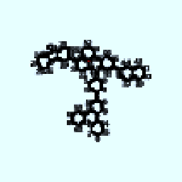 c1ccc(-c2ccc(-c3ccc(N(c4ccc(-c5ccc6sc7ccccc7c6c5)cc4)c4cc(-c5ccc6ccccc6c5)ccc4-c4ccccc4)cc3)cc2-c2ccccc2)cc1